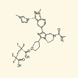 CNC(=O)N1CCn2c(C3CCOC3)nc(-c3ccc4c(c3)c(-c3cnn(C)c3)nn4C)c2C1.O=C(O)C(F)(F)F.O=C(O)C(F)(F)F